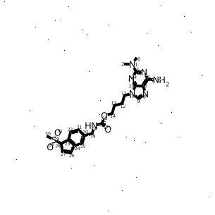 CN(C)c1nc(N)c2ncn(CCCCOC(=O)NCc3ccc4c(c3)C=CC4S(C)(=O)=O)c2n1